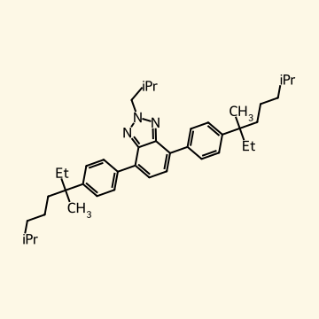 CCC(C)(CCCC(C)C)c1ccc(-c2ccc(-c3ccc(C(C)(CC)CCCC(C)C)cc3)c3nn(CC(C)C)nc23)cc1